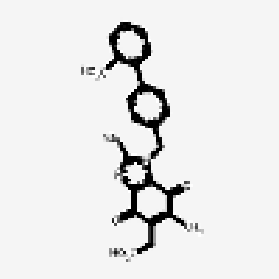 CCCCc1nc2c(n1Cc1ccc(-c3ccccc3C(=O)O)cc1)C(=O)C(C)=C(CC(=O)O)C2=O